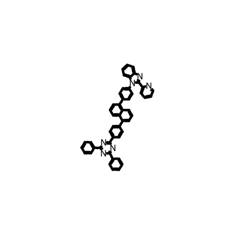 c1ccc(-c2nc(-c3ccccc3)nc(-c3ccc(-c4cccc5c(-c6ccc(-n7c(-c8ccccn8)nc8ccccc87)cc6)cccc45)cc3)n2)cc1